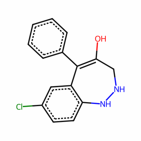 OC1=C(c2ccccc2)c2cc(Cl)ccc2NNC1